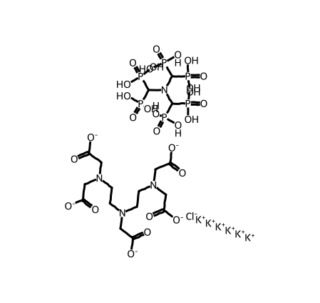 O=C([O-])CN(CCN(CC(=O)[O-])CC(=O)[O-])CCN(CC(=O)[O-])CC(=O)[O-].O=P(O)(O)C(N(C(P(=O)(O)O)P(=O)(O)O)C(P(=O)(O)O)P(=O)(O)O)P(=O)(O)O.[Cl-].[K+].[K+].[K+].[K+].[K+].[K+]